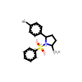 CC(C)(C)c1ccc(C2CCC(C(=O)O)N2S(=O)(=O)c2ccccc2)cc1